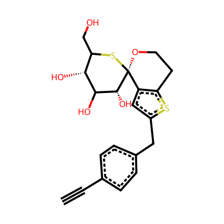 C#Cc1ccc(Cc2cc3c(s2)CCO[C@]32SC(CO)[C@@H](O)C(O)[C@H]2O)cc1